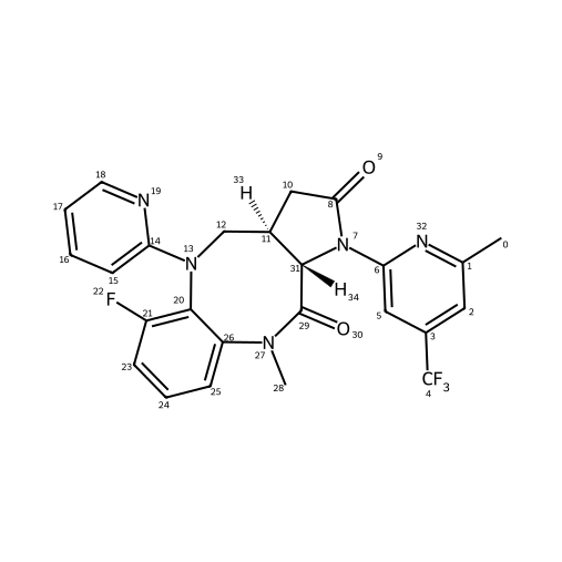 Cc1cc(C(F)(F)F)cc(N2C(=O)C[C@@H]3CN(c4ccccn4)c4c(F)cccc4N(C)C(=O)[C@H]32)n1